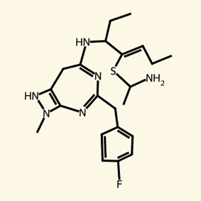 CC/C=C(\SC(C)N)C(CC)NC1=NC(Cc2ccc(F)cc2)=Nc2c([nH]n2C)C1